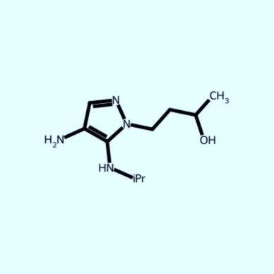 CC(O)CCn1ncc(N)c1NC(C)C